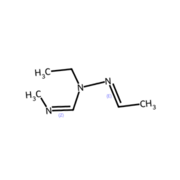 C/C=N/N(/C=N\C)CC